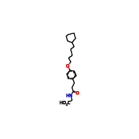 O=C(O)CNC(=O)CCc1ccc(OCCCCCC2CCCCC2)cc1